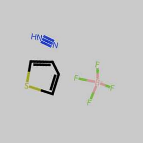 F[B-](F)(F)F.N#[NH+].c1ccsc1